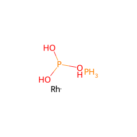 OP(O)O.P.[Rh]